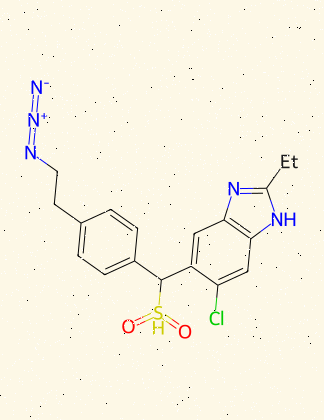 CCc1nc2cc(C(c3ccc(CCN=[N+]=[N-])cc3)[SH](=O)=O)c(Cl)cc2[nH]1